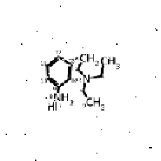 CCN(CC)CC.I.Nc1ccccc1